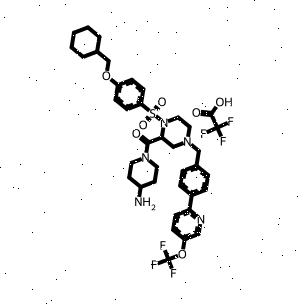 NC1CCN(C(=O)C2CN(Cc3ccc(-c4ccc(OC(F)(F)F)cn4)cc3)CCN2S(=O)(=O)c2ccc(OCC3CCCCC3)cc2)CC1.O=C(O)C(F)(F)F